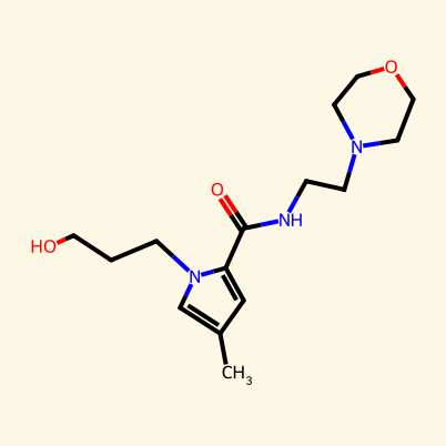 Cc1cc(C(=O)NCCN2CCOCC2)n(CCCO)c1